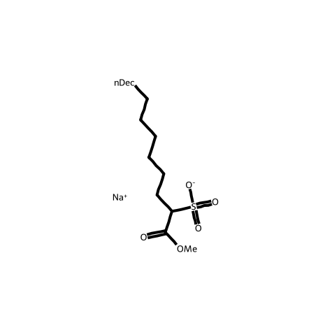 CCCCCCCCCCCCCCCCC(C(=O)OC)S(=O)(=O)[O-].[Na+]